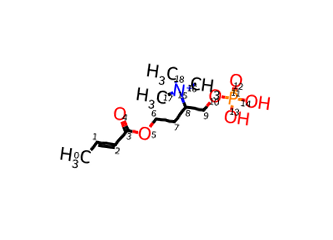 CC=CC(=O)OCCC(COP(=O)(O)O)[N+](C)(C)C